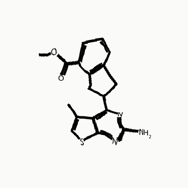 COC(=O)c1cccc2c1CC(c1nc(N)nc3scc(C)c13)C2